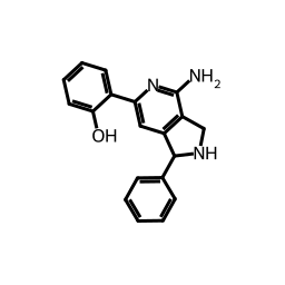 Nc1nc(-c2ccccc2O)cc2c1CNC2c1ccccc1